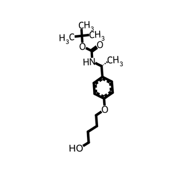 C[C@@H](NC(=O)OC(C)(C)C)c1ccc(OCCCCO)cc1